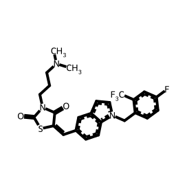 CN(C)CCCN1C(=O)SC(=Cc2ccc3c(ccn3Cc3ccc(F)cc3C(F)(F)F)c2)C1=O